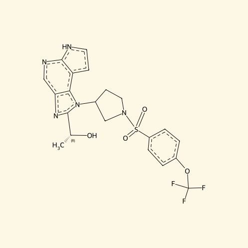 C[C@@H](O)c1nc2cnc3[nH]ccc3c2n1C1CCN(S(=O)(=O)c2ccc(OC(F)(F)F)cc2)C1